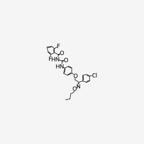 CCCCO/N=C(\COc1ccc(NC(=O)NC(=O)c2c(F)cccc2F)cc1)c1ccc(Cl)cc1